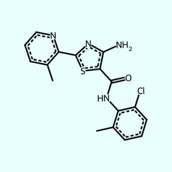 Cc1cccnc1-c1nc(N)c(C(=O)Nc2c(C)cccc2Cl)s1